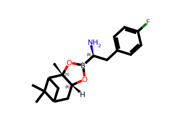 CC1(C)C2CC1[C@]1(C)OB([C@@H](N)Cc3ccc(F)cc3)O[C@@H]1C2